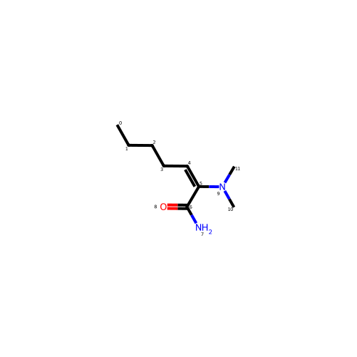 CCCC/C=C(\C(N)=O)N(C)C